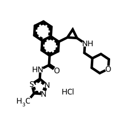 Cc1nnc(NC(=O)c2cc(C3CC3NCC3CCOCC3)c3ccccc3c2)s1.Cl